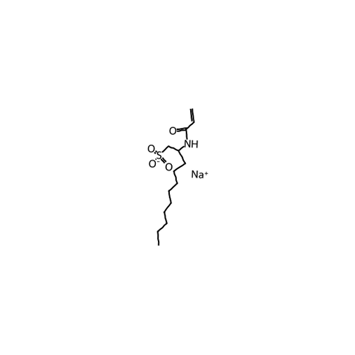 C=CC(=O)NC(CCCCCCCCC)CS(=O)(=O)[O-].[Na+]